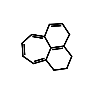 C1=CC=C2CCCC3=C2C(=C1)C=CC3